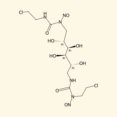 O=NN(CCCl)C(=O)NC[C@@H](O)[C@@H](O)[C@H](O)[C@H](O)CN(N=O)C(=O)NCCCl